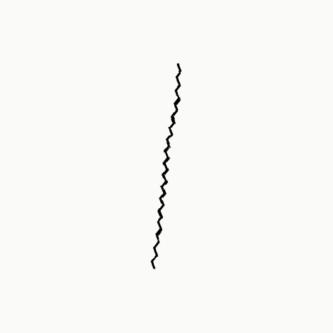 CCCCCC=CCC=CCCCCCCCCCCCCCCC=CCC=CCCCCC